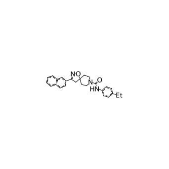 CCc1ccc(NC(=O)N2CCC3(CC2)CC(c2ccc4ccccc4c2)=NO3)cc1